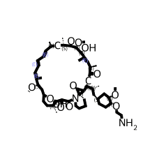 CO[C@H]1CC2CC[C@@H](C)[C@@](O)(O2)C(=O)C(=O)N2CCCC[C@@]23C(=O)C3[C@H]([C@H](C)C[C@@H]2CC[C@@H](OCCN)[C@H](OC)C2)CC(=O)[C@H](C)/C=C(\C)[C@@H](O)[C@@H](OC)C(=O)[C@@H](C)C[C@H](C)/C=C/C=C/C=C/1C